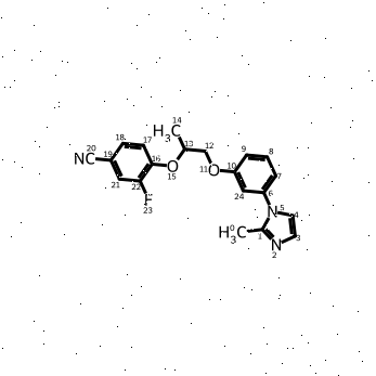 Cc1nccn1-c1cccc(OCC(C)Oc2ccc(C#N)cc2F)c1